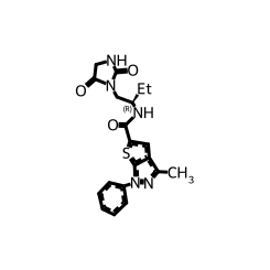 CC[C@H](CN1C(=O)CNC1=O)NC(=O)c1cc2c(C)nn(-c3ccccc3)c2s1